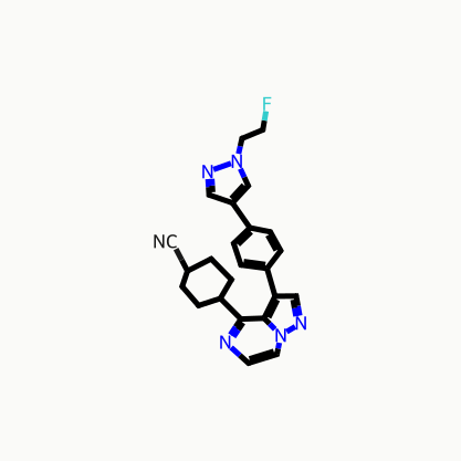 N#CC1CCC(c2nccn3ncc(-c4ccc(-c5cnn(CCF)c5)cc4)c23)CC1